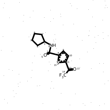 O=C(NC1CCCC1)c1ccc(C(=O)C(F)(F)F)s1